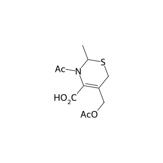 CC(=O)OCC1=C(C(=O)O)N(C(C)=O)C(C)SC1